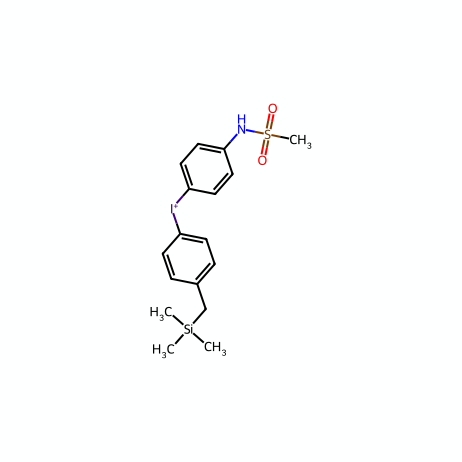 C[Si](C)(C)Cc1ccc([I+]c2ccc(NS(C)(=O)=O)cc2)cc1